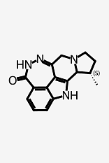 C[C@H]1CCN2CC3=NNC(=O)c4cccc5[nH]c(c3c45)C12